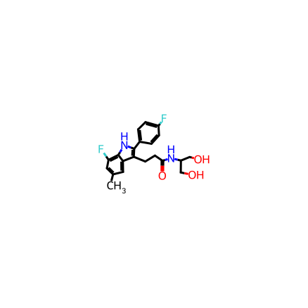 Cc1cc(F)c2[nH]c(-c3ccc(F)cc3)c(CCC(=O)NC(CO)CO)c2c1